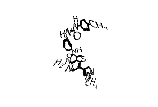 Cc1ccc(NC(=O)Nc2cccc(NC(=O)c3csc4c(-c5cnn(C)c5)cnc(N)c34)c2)cc1